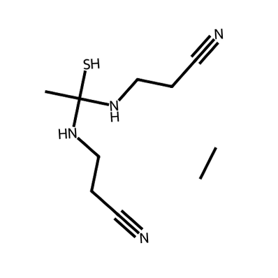 CC.CC(S)(NCCC#N)NCCC#N